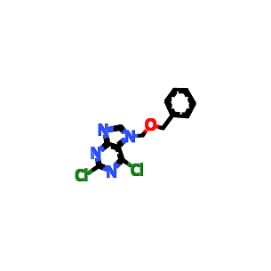 Clc1nc(Cl)c2c(ncn2COCc2ccccc2)n1